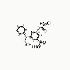 CCC(c1ccccc1)c1cc(C(=O)O)cc(OC(=O)NC)n1